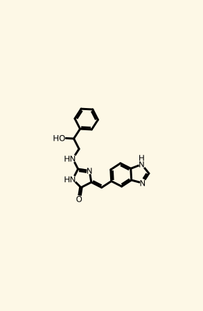 O=C1NC(NCC(O)c2ccccc2)=N/C1=C\c1ccc2[nH]cnc2c1